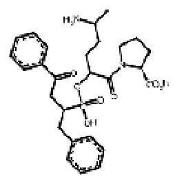 CC(N)CCC(OP(=O)(O)C(CC(=O)c1ccccc1)Cc1ccccc1)C(=O)N1CCC[C@H]1C(=O)O